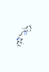 C(=CC1=[N+]c2ccccc2C1)/C=C1/Cc2ccccc2N1